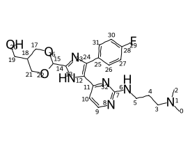 CN(C)CCCNc1nccc(-c2[nH]c(C3OCC(CO)CO3)nc2-c2ccc(F)cc2)n1